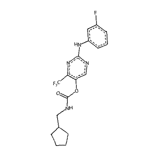 O=C(NCC1CCCC1)Oc1cnc(Nc2cccc(F)c2)nc1C(F)(F)F